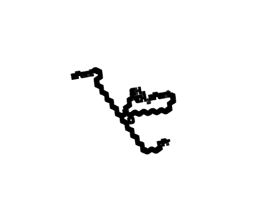 CCC/C=C\C/C=C\CCCCCCCCC(CCCCCCCC/C=C\C/C=C\CCCCC)N(CCCN(C)C)C(=O)CCCCCCC/C=C\C/C=C\CCCCC